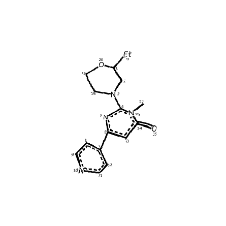 CCC1CN(c2nc(-c3ccncc3)cc(=O)n2C)CCO1